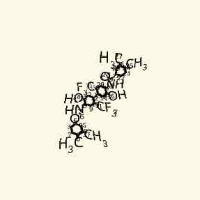 Cc1ccc(OCNc2cc(C(F)(F)F)c(-c3cc(O)c(NC(=O)c4ccc(C)c(C)c4)cc3C(F)(F)F)cc2O)cc1C